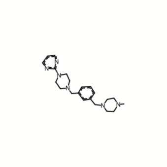 CN1CCN(Cc2cccc(CN3CCN(c4ncccn4)CC3)c2)CC1